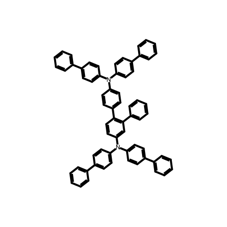 c1ccc(-c2ccc(N(c3ccc(-c4ccccc4)cc3)c3ccc(-c4ccc(N(c5ccc(-c6ccccc6)cc5)c5ccc(-c6ccccc6)cc5)cc4-c4ccccc4)cc3)cc2)cc1